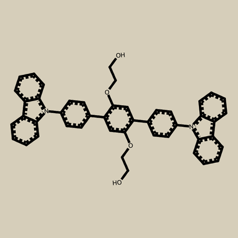 OCCOc1cc(-c2ccc(-n3c4ccccc4c4ccccc43)cc2)c(OCCO)cc1-c1ccc(-n2c3ccccc3c3ccccc32)cc1